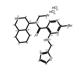 CC(C)CN(C(=O)c1cnc(C(C)(C)C)nc1NCc1ncco1)C1CNCC2CCCCC21.Cl.Cl